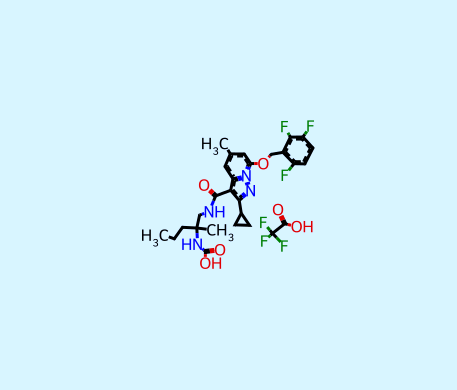 CCCC(C)(CNC(=O)c1c(C2CC2)nn2c(OCc3c(F)ccc(F)c3F)cc(C)cc12)NC(=O)O.O=C(O)C(F)(F)F